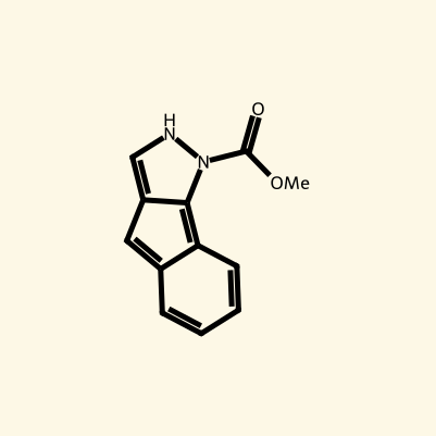 COC(=O)n1[nH]cc2cc3ccccc3c1-2